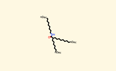 CCCCCCCCCCCCCCCCCCNC(=O)C(CCCCCCCCCCCCCCCC)CCCCCCCCCCCCCCCCCC